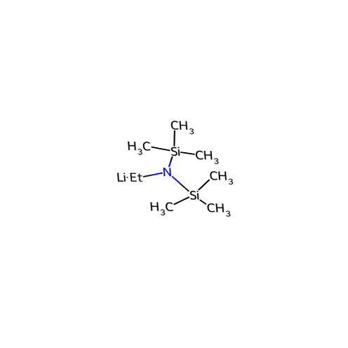 CCN([Si](C)(C)C)[Si](C)(C)C.[Li]